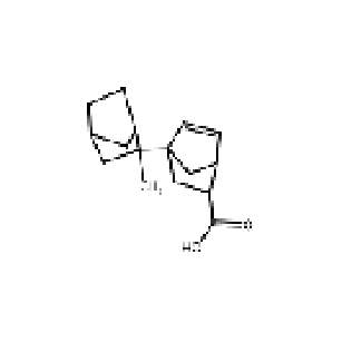 CC1(C23C=CC(C2)C(C(=O)O)C3)CC2CCC1C2